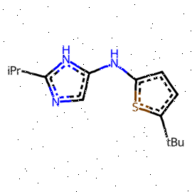 CC(C)c1ncc(Nc2ccc(C(C)(C)C)s2)[nH]1